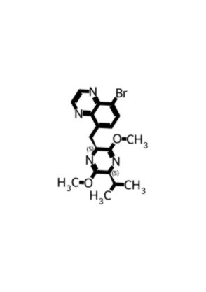 COC1=N[C@@H](C(C)C)C(OC)=N[C@H]1Cc1ccc(Br)c2nccnc12